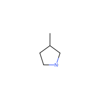 CC1CC[N]C1